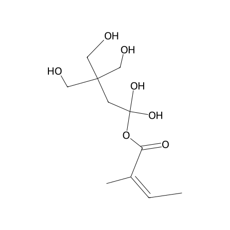 CC=C(C)C(=O)OC(O)(O)CC(CO)(CO)CO